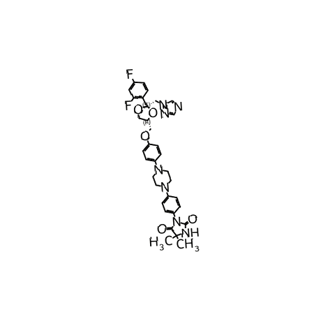 CC1(C)NC(=O)N(c2ccc(N3CCN(c4ccc(OC[C@@H]5CO[C@@](Cn6cncn6)(c6ccc(F)cc6F)O5)cc4)CC3)cc2)C1=O